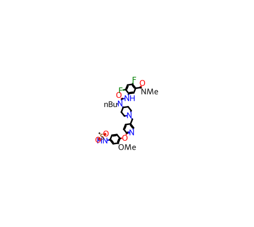 CCCCN(C(=O)Nc1cc(C(=O)NC)c(F)cc1F)C1CCN(Cc2ccc(Oc3ccc(NS(C)(=O)=O)cc3OC)nc2)CC1